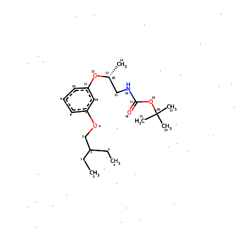 CCC(CC)COc1cccc(O[C@H](C)CNC(=O)OC(C)(C)C)c1